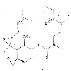 COC1C(OC(=O)N(C)CCN(C)C(=O)CI)CC[C@]2(CO2)C1C1(C)O[C@@H]1CC=C(C)C